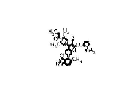 C=CC(=O)N1[C@H](C)CN(c2c(C#N)c(OC[C@@H]3CCCN3C)nc3c2CCN(c2c(C)ccc4[nH]nc(Cl)c24)C3)C[C@@H]1C